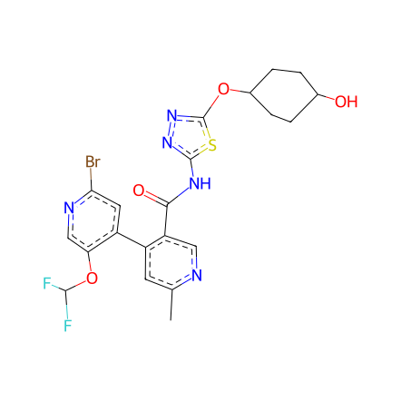 Cc1cc(-c2cc(Br)ncc2OC(F)F)c(C(=O)Nc2nnc(OC3CCC(O)CC3)s2)cn1